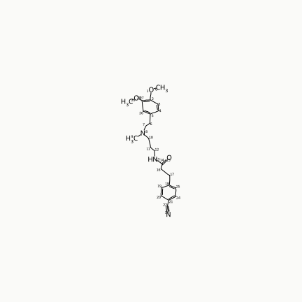 COc1ccc(CCN(C)CCCNC(=O)CCc2ccc(C#N)cc2)cc1OC